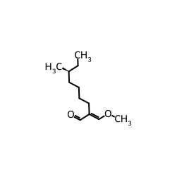 CC[C@H](C)CCCC/C(C=O)=C\OC